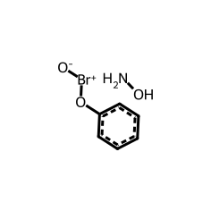 NO.[O-][Br+]Oc1ccccc1